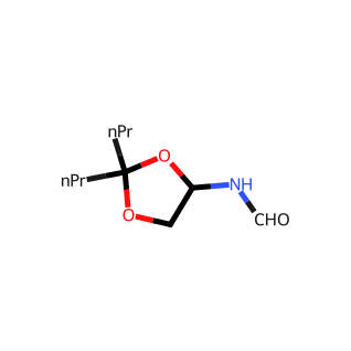 CCCC1(CCC)OCC(NC=O)O1